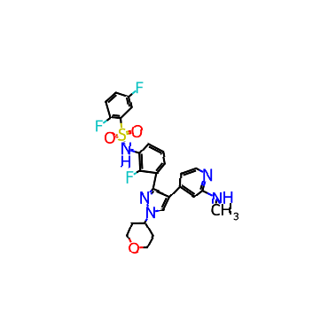 CNc1cc(-c2cn(C3CCOCC3)nc2-c2cccc(NS(=O)(=O)c3cc(F)ccc3F)c2F)ccn1